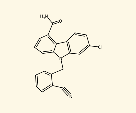 N#Cc1ccccc1Cn1c2cc(Cl)c[c]c2c2c(C(N)=O)cccc21